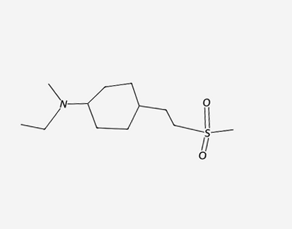 CCN(C)C1CCC(CCS(C)(=O)=O)CC1